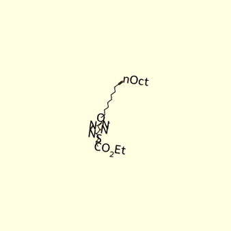 CCCCCCCCC#CCCCCCCCCOc1c2ncnc(SCC(=O)OCC)c2nn1C